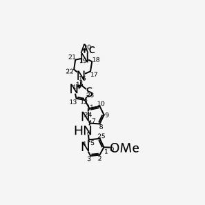 COc1ccnc(Nc2cccc(-c3cnc(N4CCN(C(C)=O)CC4)s3)n2)c1